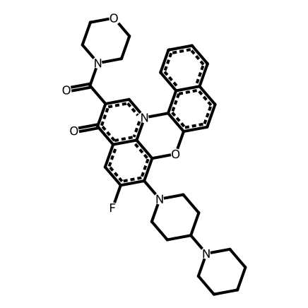 O=C(c1cn2c3c(c(N4CCC(N5CCCCC5)CC4)c(F)cc3c1=O)Oc1ccc3ccccc3c1-2)N1CCOCC1